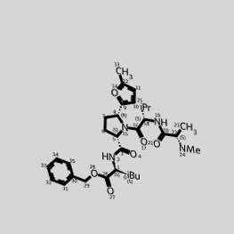 CC[C@H](C)[C@H](NC(=O)[C@@H]1CC[C@H](c2ccc(C)o2)N1C(=O)[C@@H](NC(=O)[C@H](C)NC)C(C)C)C(=O)OCc1ccccc1